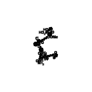 COc1cc2c(cc1OCCCCCC(=O)N1C[C@@H](CCl)c3c1cc(OCc1ccc(NC(=O)C(CCCNC(N)=O)NC(=O)C(NC(=O)CCCCCN4C(=O)C=CC4=O)C(C)C)cc1)c1ccccc31)N(C(=O)O)C(O)C1CCCN1C2=O